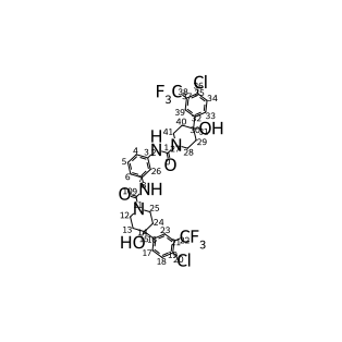 O=C(Nc1cccc(NC(=O)N2CCC(O)(c3ccc(Cl)c(C(F)(F)F)c3)CC2)c1)N1CCC(O)(c2ccc(Cl)c(C(F)(F)F)c2)CC1